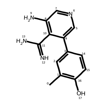 Cc1cc(-c2cncc(N)c2C(=N)N)ccc1O